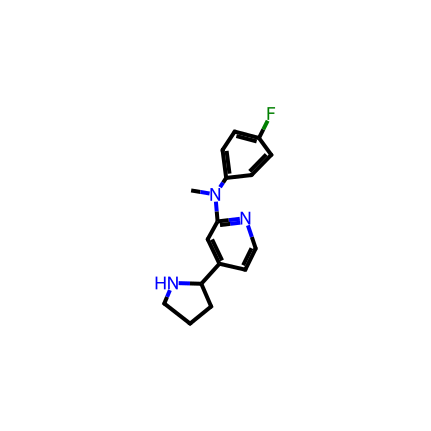 CN(c1ccc(F)cc1)c1cc(C2CCCN2)ccn1